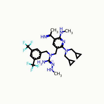 CN/N=C(\N)N(Cc1cc(C(F)(F)F)cc(C(F)(F)F)c1)Cc1cc(C(C)=N)c(NC)nc1N(CC1CC1)CC1CC1